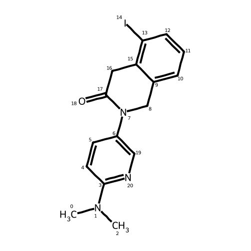 CN(C)c1ccc(N2Cc3cccc(I)c3CC2=O)cn1